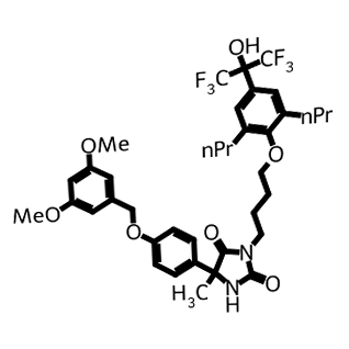 CCCc1cc(C(O)(C(F)(F)F)C(F)(F)F)cc(CCC)c1OCCCCN1C(=O)NC(C)(c2ccc(OCc3cc(OC)cc(OC)c3)cc2)C1=O